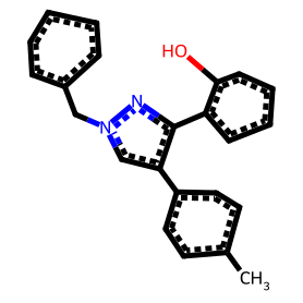 Cc1ccc(-c2cn(Cc3ccccc3)nc2-c2ccccc2O)cc1